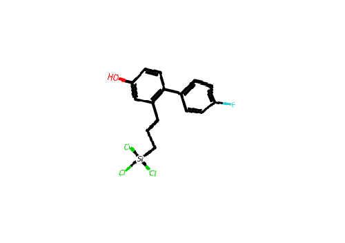 Oc1ccc(-c2ccc(F)cc2)c(CCC[Si](Cl)(Cl)Cl)c1